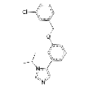 CC(C)n1cncc1-c1cccc(OCc2cccc(Cl)c2)c1